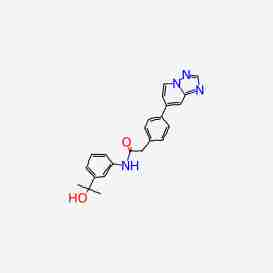 CC(C)(O)c1cccc(NC(=O)Cc2ccc(-c3ccn4ncnc4c3)cc2)c1